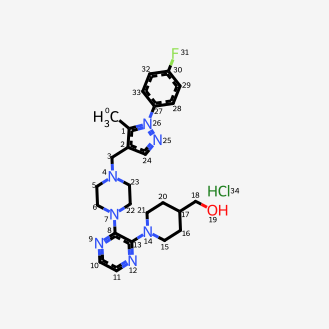 Cc1c(CN2CCN(c3nccnc3N3CCC(CO)CC3)CC2)cnn1-c1ccc(F)cc1.Cl